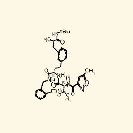 Cc1cc(C(=O)N[C@H](C(=O)N[C@@H](CCc2cccc(C=C(C#N)C(=O)NC(C)(C)C)c2)C(=O)NCc2ccccc2Cl)[C@@H](C)O)no1